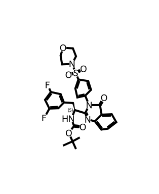 CC(C)(C)OC(=O)N[C@@H](Cc1cc(F)cc(F)c1)c1nc2ccccc2c(=O)n1-c1ccc(S(=O)(=O)N2CCOCC2)cc1